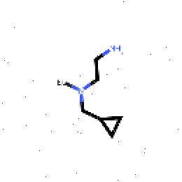 CCN(CCN)CC1CC1